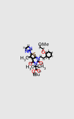 COCCOc1ccccc1CCn1c(=O)n(C(C)(C)C(=O)OC(C)(C)C)c(=O)c2c(C)c(-n3nccn3)sc21